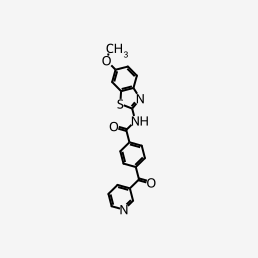 COc1ccc2nc(NC(=O)c3ccc(C(=O)c4cccnc4)cc3)sc2c1